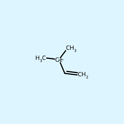 C=[CH][Ge]([CH3])[CH3]